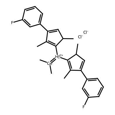 CC1=[C]([Hf+2]([C]2=C(C)C(c3cccc(F)c3)=CC2C)=[Ge]([CH3])[CH3])C(C)C=C1c1cccc(F)c1.[Cl-].[Cl-]